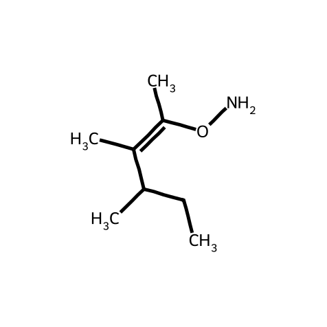 CCC(C)/C(C)=C(/C)ON